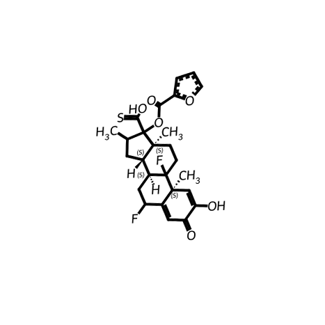 CC1C[C@H]2[C@@H]3CC(F)C4=CC(=O)C(O)=C[C@]4(C)C3(F)CC[C@]2(C)C1(OC(=O)c1ccco1)C(O)=S